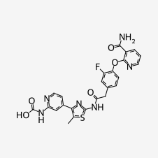 Cc1sc(NC(=O)Cc2ccc(Oc3ncccc3C(N)=O)c(F)c2)nc1-c1ccnc(NC(=O)O)c1